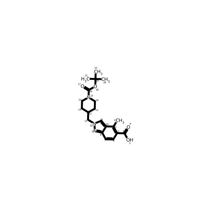 Cc1c(C(=O)O)ccc2nn(CC3CCN(C(=O)OC(C)(C)C)CC3)cc12